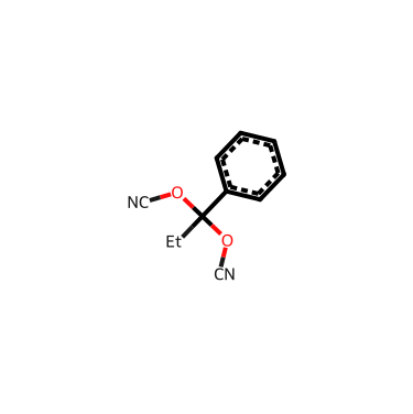 CCC(OC#N)(OC#N)c1ccccc1